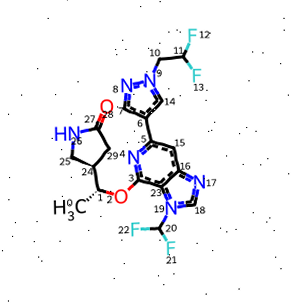 C[C@@H](Oc1nc(-c2cnn(CC(F)F)c2)cc2ncn(C(F)F)c12)[C@H]1CNC(=O)C1